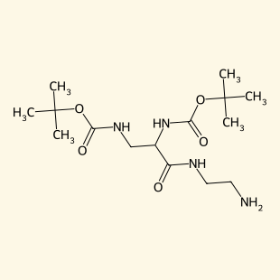 CC(C)(C)OC(=O)NCC(NC(=O)OC(C)(C)C)C(=O)NCCN